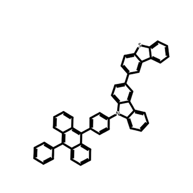 c1ccc(-c2c3ccccc3c(-c3ccc(-n4c5ccccc5c5cc(-c6ccc7sc8ccccc8c7c6)ccc54)cc3)c3ccccc23)cc1